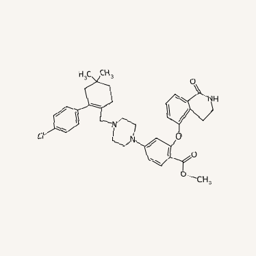 COC(=O)c1ccc(N2CCN(CC3=C(c4ccc(Cl)cc4)CC(C)(C)CC3)CC2)cc1Oc1cccc2c1CCNC2=O